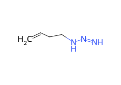 C=CCCNN=N